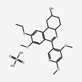 CCOc1cc2c(cc1OC)C(c1cnc(OC)cc1OC)=NC1CCC(O)CC21.O=S(=O)(O)O